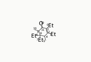 CCC1=C(CC)C(C)C(CC)(CC)C(C)C1=O